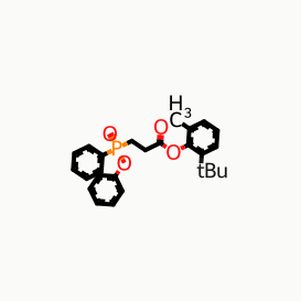 Cc1cccc(C(C)(C)C)c1OC(=O)CCP(=O)(Oc1ccccc1)c1ccccc1